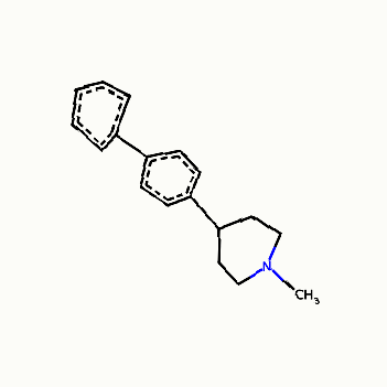 CN1CCC(c2ccc(-c3ccccc3)cc2)CC1